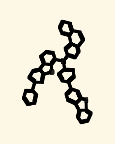 c1ccc(-c2ccc3c(c2)oc2c(N(c4ccc(-c5ccc6c(c5)sc5ccccc56)cc4)c4ccc5ccc6ccccc6c5c4)cccc23)cc1